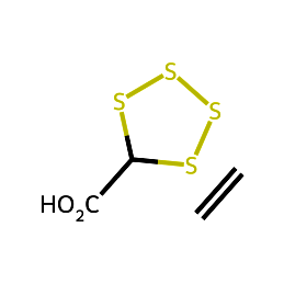 C=C.O=C(O)C1SSSS1